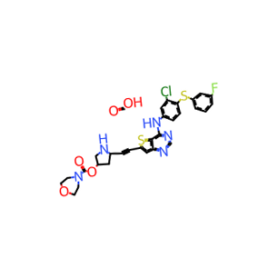 O=C(OC1CNC(C#Cc2cc3ncnc(Nc4ccc(Sc5cccc(F)c5)c(Cl)c4)c3s2)C1)N1CCOCC1.O=CO